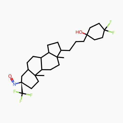 CC12CCC3C(CCC4C[C@](N=O)(C(F)(F)F)CCC43C)C1CCC2CCCC1(O)CCC(F)(F)CC1